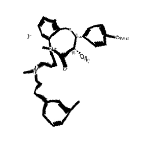 COc1ccc([C@H]2Sc3ccccc3[N+](C)(CCN(C)CCc3cccc(C)c3)C(=O)[C@H]2OC(C)=O)cc1.[I-]